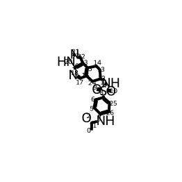 CC(=O)Nc1ccc(S(=O)(=O)NC2CCc3c(cnc4[nH]ncc34)C2)cc1